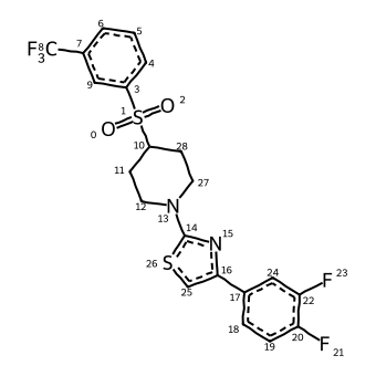 O=S(=O)(c1cccc(C(F)(F)F)c1)C1CCN(c2nc(-c3ccc(F)c(F)c3)cs2)CC1